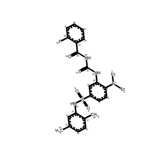 CCN(CC)c1ccc(S(=O)(=O)Nc2cc(C)ccc2C)cc1NC(=S)NC(=O)c1ccccc1F